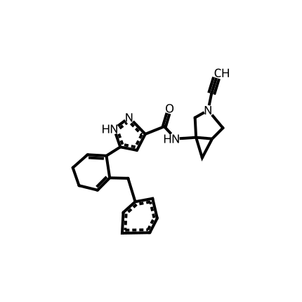 C#CN1CC2CC2(NC(=O)c2cc(C3=CCCC=C3Cc3ccccc3)[nH]n2)C1